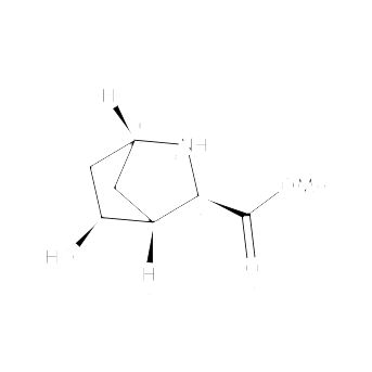 COC(=O)[C@@H]1N[C@@H]2C[C@H]1[C@@H](O)C2